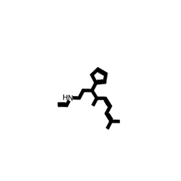 C=CNCCC(C1=CC=CC1)C(C)/C=C\C=C(C)C